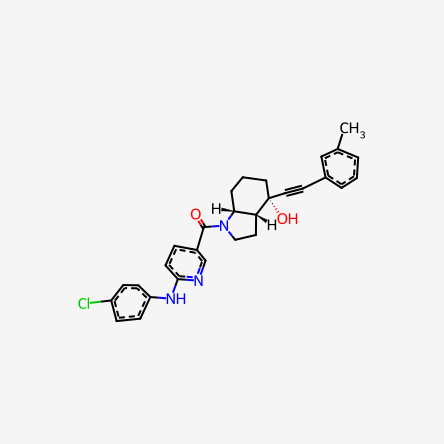 Cc1cccc(C#C[C@]2(O)CCC[C@@H]3[C@H]2CCN3C(=O)c2ccc(Nc3ccc(Cl)cc3)nc2)c1